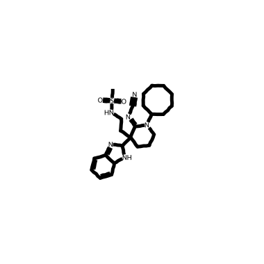 CS(=O)(=O)NCCC1(C2N=C3C=CC=CC3N2)[CH]CCN(C2CCCCCCC2)C1=NC#N